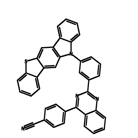 N#Cc1ccc(-c2nc(-c3cccc(-n4c5ccccc5c5cc6sc7ccccc7c6cc54)c3)nc3ccccc23)cc1